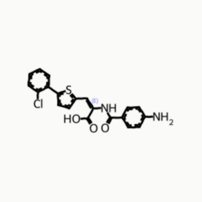 Nc1ccc(C(=O)N/C(=C/c2ccc(-c3ccccc3Cl)s2)C(=O)O)cc1